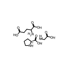 NC(CCC(=O)O)C(=O)O.NCC(=O)O.O=C(O)[C@@H]1CCCN1